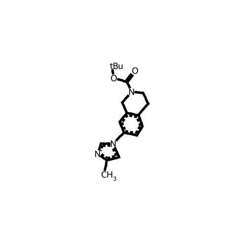 Cc1cn(-c2ccc3c(c2)CN(C(=O)OC(C)(C)C)CC3)cn1